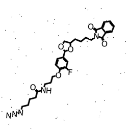 [N-]=[N+]=NCCCCC(=O)NCCCOc1ccc(C2OCC(CCCCN3C(=O)c4ccccc4C3=O)O2)cc1F